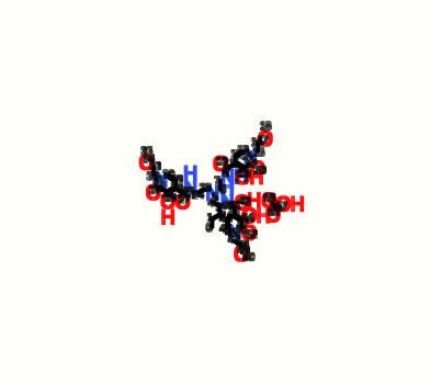 CCCC(CN(CCNC(=O)c1ccn(CCOC)c(=O)c1O)CCNC(=O)c1ccn(CCOC)c(=O)c1O)NC(=O)c1ccn(CCOC)c(=O)c1O.O=C(O)O